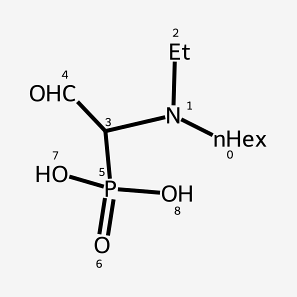 CCCCCCN(CC)C(C=O)P(=O)(O)O